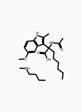 CCCCCCC(NC(C)=O)(C(=O)O)c1c(C)[nH]c2ccc(OC)cc12.CCCCNC